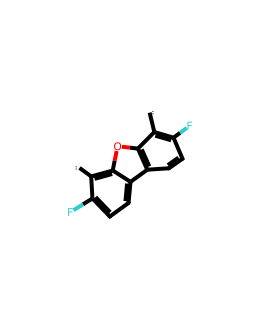 [CH]c1c(F)ccc2c1oc1c([CH])c(F)ccc12